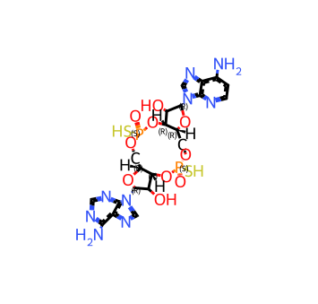 Nc1ccnc2c1ncn2[C@@H]1O[C@@H]2CO[P@](=O)(S)O[C@@H]3C(O)[C@H](n4cnc5c(N)ncnc54)O[C@@H]3CO[P@](=O)(S)O[C@@H]2C1O